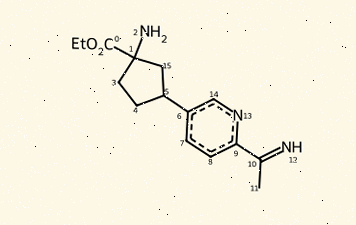 CCOC(=O)C1(N)CCC(c2ccc(C(C)=N)nc2)C1